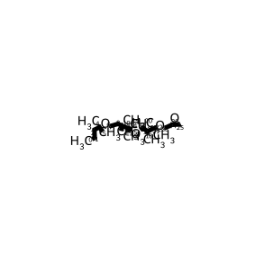 CCCC(C)(C)OCCC(C)(C)C(C)(C)OCC(C)C(C)(C)OCC1CO1